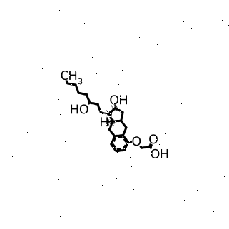 CCCCCC(O)CC[C@H]1[C@H](O)CC2Cc3c(cccc3OCC(=O)O)C[C@@H]21